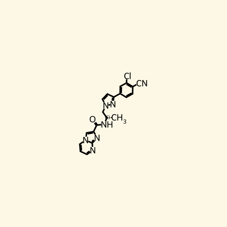 C[C@@H](Cn1ccc(-c2ccc(C#N)c(Cl)c2)n1)NC(=O)c1cn2cccnc2n1